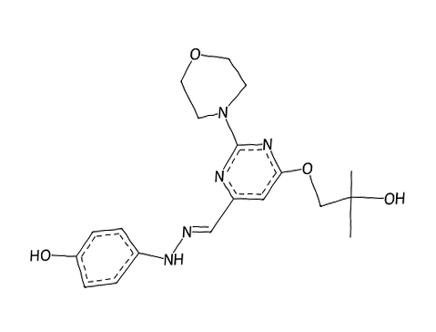 CC(C)(O)COc1cc(C=NNc2ccc(O)cc2)nc(N2CCOCC2)n1